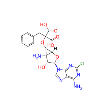 Nc1nc(Cl)nc2c1ncn2[C@@H]1O[C@@H]2C(OC(Cc3ccccc3)(C(=O)O)C(=O)O)[C@]2(N)[C@H]1O